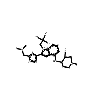 CN(C)Cc1nnc(-c2cc3c(NC4CCN(C)CC4F)cccc3n2CC(F)(F)F)s1